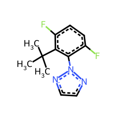 CC(C)(C)c1c(F)ccc(F)c1-n1nccn1